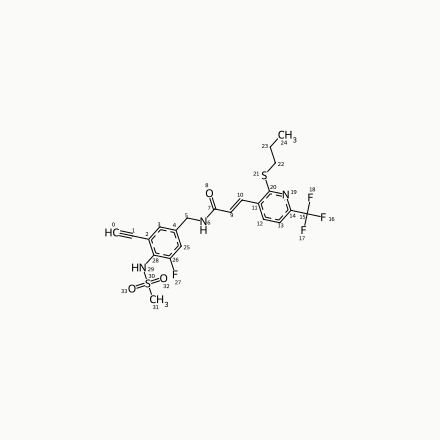 C#Cc1cc(CNC(=O)C=Cc2ccc(C(F)(F)F)nc2SCCC)cc(F)c1NS(C)(=O)=O